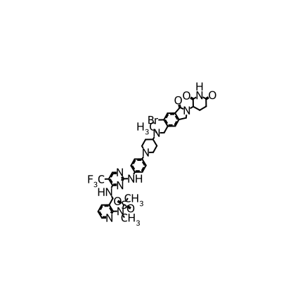 CN(Cc1cc2c(cc1Br)C(=O)N(C1CCC(=O)NC1=O)C2)C1CCN(c2ccc(Nc3ncc(C(F)(F)F)c(NCc4cccnc4N(C)S(C)(=O)=O)n3)cc2)CC1